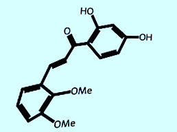 COc1cccc(C=CC(=O)c2ccc(O)cc2O)c1OC